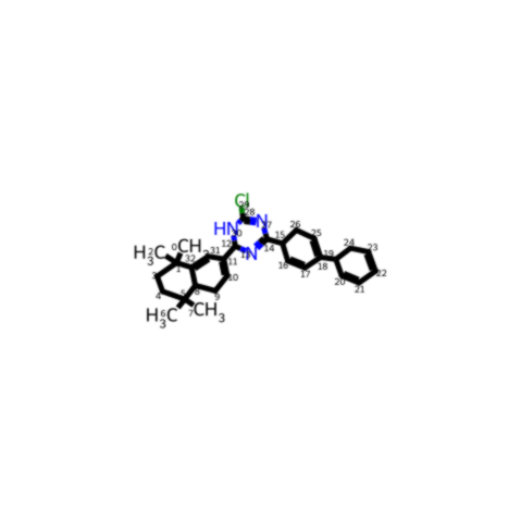 CC1(C)CCC(C)(C)C2CC=C(C3N=C(C4C=CC(C5C=CC=CC5)=CC4)N=C(Cl)N3)C=C21